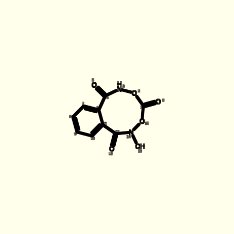 O=c1o[nH]c(=O)c2ccccc2c(=O)n(O)o1